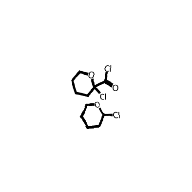 ClC1CCCCO1.O=C(Cl)C1(Cl)CCCCO1